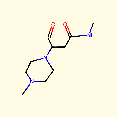 CNC(=O)CC(C=O)N1CCN(C)CC1